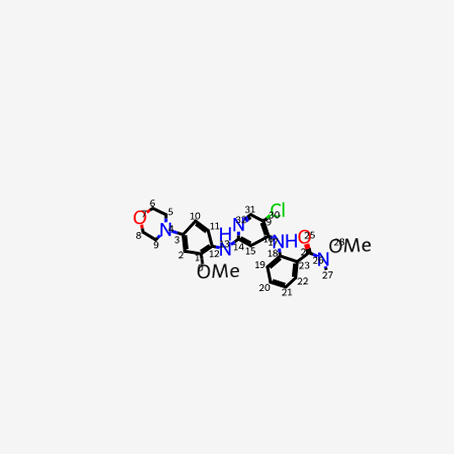 COc1cc(N2CCOCC2)ccc1Nc1cc(Nc2ccccc2C(=O)N(C)OC)c(Cl)cn1